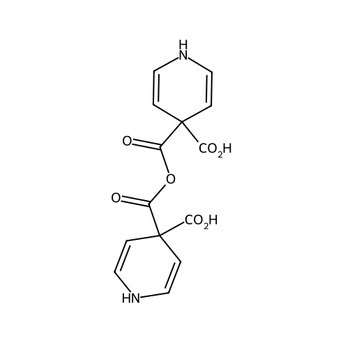 O=C(O)C1(C(=O)OC(=O)C2(C(=O)O)C=CNC=C2)C=CNC=C1